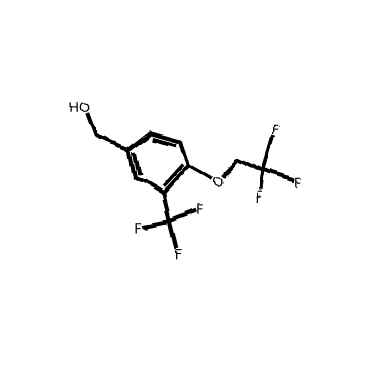 OCc1ccc(OCC(F)(F)F)c(C(F)(F)F)c1